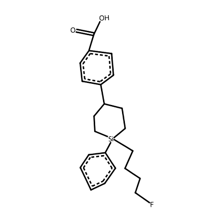 O=C(O)c1ccc(C2CC[Si](CCCCF)(c3ccccc3)CC2)cc1